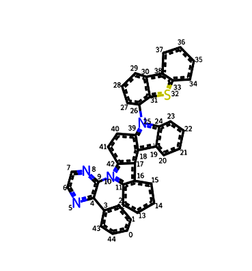 c1ccc(-c2nccnc2-n2c3ccccc3c3c4c5ccccc5n(-c5cccc6c5sc5ccccc56)c4ccc32)cc1